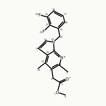 COC(=O)Cc1c(C)nc2c(ccn2Cc2cccc(F)c2F)c1C